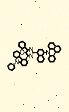 c1ccc(-n2c3ccccc3c3c(-c4nc(-c5ccc(N6c7ccccc7-c7cccc8cccc6c78)c6ccccc56)nc5c4oc4ccccc45)cccc32)cc1